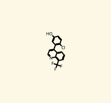 Oc1ccc(Cl)c(-c2ccnc3c(C(F)(F)F)cccc23)c1